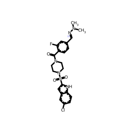 CN(C)/N=C/c1ccc(C(=O)N2CCN(S(=O)(=O)c3cc4cc(Cl)ccc4[nH]3)CC2)c(F)c1